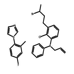 C=CCB(c1ccccc1)c1cccc(CCC(C)Br)c1Cl.Cc1cc(F)ccc1-n1ccnc1